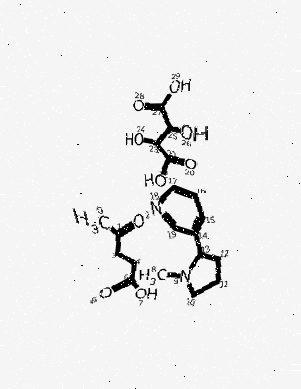 CC(=O)CCC(=O)O.CN1CCCC1c1cccnc1.O=C(O)C(O)C(O)C(=O)O